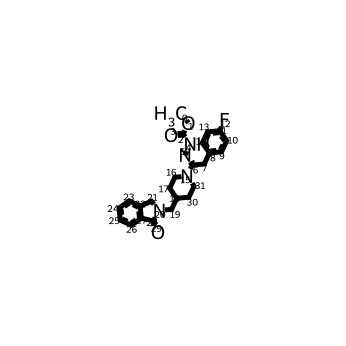 COC(=O)NN=C(Cc1ccc(F)cc1)N1CCC(CN2Cc3ccccc3C2=O)CC1